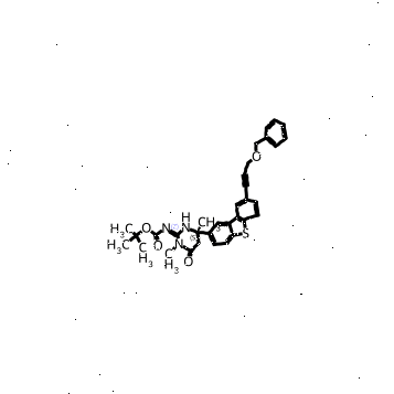 CN1C(=O)C[C@@](C)(c2ccc3sc4ccc(C#CCOCc5ccccc5)cc4c3c2)N/C1=N/C(=O)OC(C)(C)C